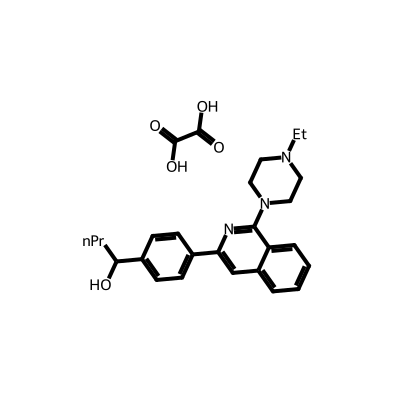 CCCC(O)c1ccc(-c2cc3ccccc3c(N3CCN(CC)CC3)n2)cc1.O=C(O)C(=O)O